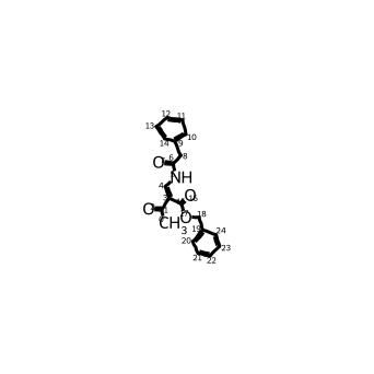 CC(=O)/C(=C/NC(=O)Cc1ccccc1)C(=O)OCc1ccccc1